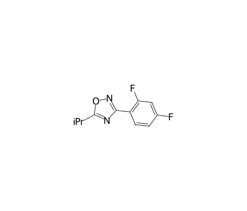 CC(C)c1nc(-c2ccc(F)cc2F)no1